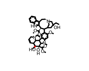 CCC1(O)CC2C[N@](CCc3c([nH]c4ccccc34)[C@H](C(=O)OC)C2c2cc3c(cc2OC)N(C)C2[C@]34CCN3CC=C[C@](CC)(C34)[C@@H](O)[C@]2(O)C(=O)OC)C1